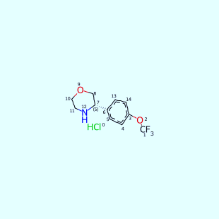 Cl.FC(F)(F)Oc1ccc([C@H]2COCCN2)cc1